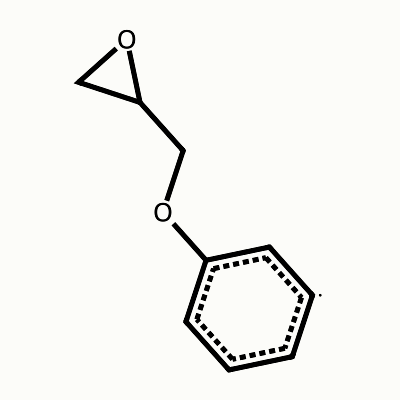 [c]1cccc(OCC2CO2)c1